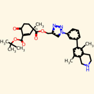 Cc1cc(-c2cccc(-n3cc(COC(=O)[C@]4(C)C=C(C(=O)OC(C)(C)C)C(=O)CC4)nn3)c2)c(C)c2c1CNCC2